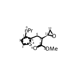 CCCc1ccsc1CC(C(=O)OC)[C@H]1CO1